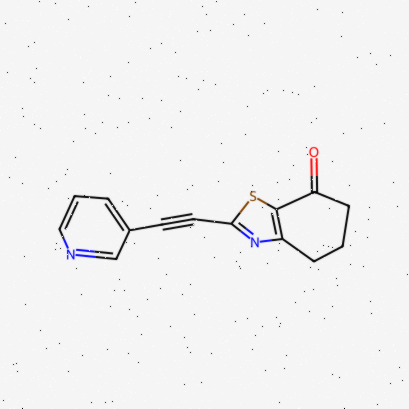 O=C1CCCc2nc(C#Cc3cccnc3)sc21